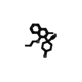 CCCOc1c(C2(C#N)CCC(=O)CC2)c(C)cc2ccccc12